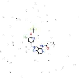 CCC(=O)Nc1nccc2nn(Cc3cnc(OCC(F)(F)F)c(Cl)c3)cc12